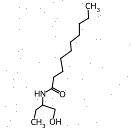 CCCCCCCCCC(=O)NC(CC)CO